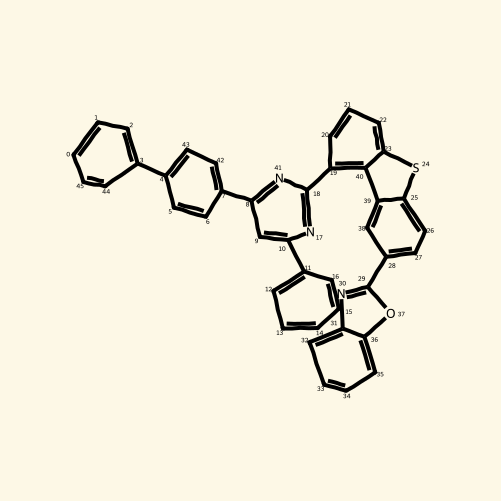 c1ccc(-c2ccc(-c3cc(-c4ccccc4)nc(-c4cccc5sc6ccc(-c7nc8ccccc8o7)cc6c45)n3)cc2)cc1